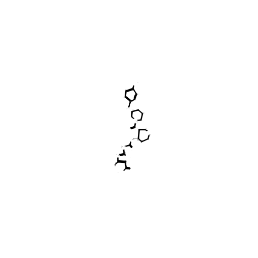 CC(=O)c1sc(NC(=O)N[C@@H]2CCOC[C@@H]2C(=O)N2CCC[C@@H](Cc3ccc(F)cc3)C2)nc1C